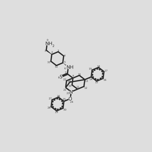 NC[C@H]1CC[C@H](NC(=S)C23CC4CC(c5ccccc5)(CC(C2)N4Oc2ccccc2)C3)CC1